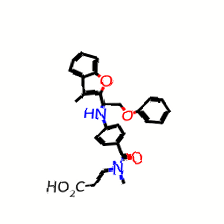 Cc1c(C(COc2ccccc2)Nc2ccc(C(=O)N(C)CCC(=O)O)cc2)oc2ccccc12